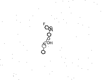 O[C@@H](COc1ccc(-c2noc3cc(F)ccc23)cc1)CN1CCC(c2ccccc2)CC1